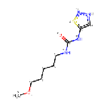 COCCCCCNC(=O)Nc1cnns1